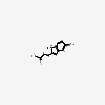 O=C(O)CCc1cc2cc(F)ccc2[nH]1